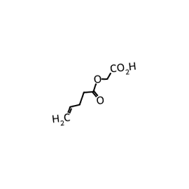 C=CCCC(=O)OCC(=O)O